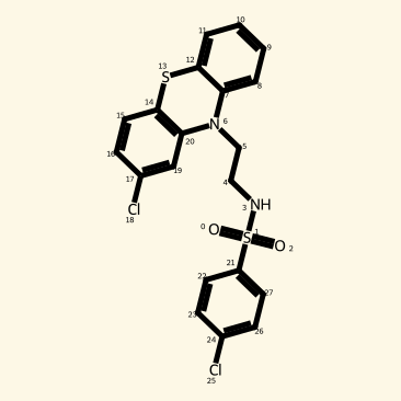 O=S(=O)(NCCN1c2ccccc2Sc2ccc(Cl)cc21)c1ccc(Cl)cc1